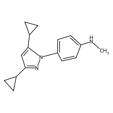 CNc1ccc(-n2nc(C3CC3)cc2C2CC2)cc1